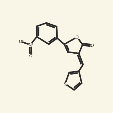 O=C1OC(c2cccc([N+](=O)[O-])c2)=CC1=Cc1ccsc1